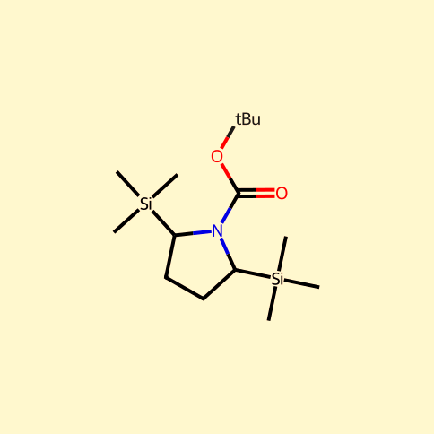 CC(C)(C)OC(=O)N1C([Si](C)(C)C)CCC1[Si](C)(C)C